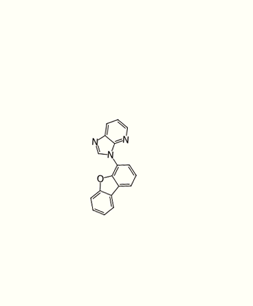 c1cnc2c(c1)ncn2-c1cccc2c1oc1ccccc12